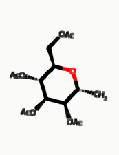 CC(=O)OC[C@H]1O[C@H](C)[C@@H](OC(C)=O)[C@@H](OC(C)=O)[C@@H]1OC(C)=O